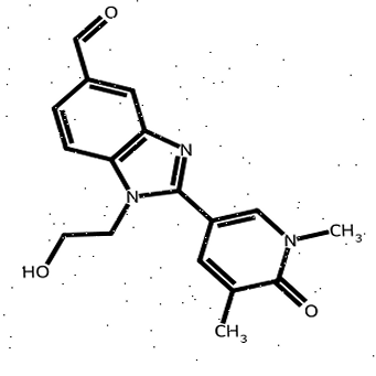 Cc1cc(-c2nc3cc(C=O)ccc3n2CCO)cn(C)c1=O